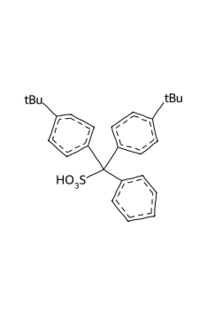 CC(C)(C)c1ccc(C(c2ccccc2)(c2ccc(C(C)(C)C)cc2)S(=O)(=O)O)cc1